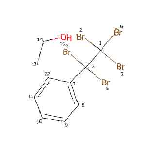 BrC(Br)(Br)C(Br)(Br)c1ccccc1.CCO